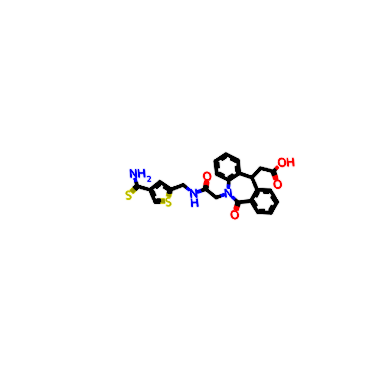 NC(=S)c1csc(CNC(=O)CN2C(=O)c3ccccc3C(CC(=O)O)c3ccccc32)c1